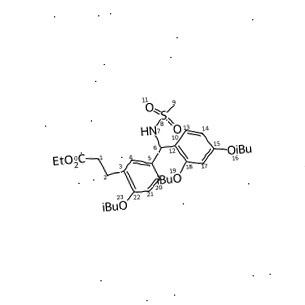 CCOC(=O)CCc1cc(C(NS(C)(=O)=O)c2ccc(OCC(C)C)cc2OCC(C)C)ccc1OCC(C)C